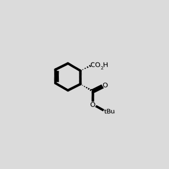 CC(C)(C)OC(=O)[C@@H]1CC=CC[C@@H]1C(=O)O